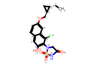 CC[C@H]1C[C@@H]1COc1ccc2cc(O)c(N3CC(=O)NS3(=O)=O)c(F)c2c1